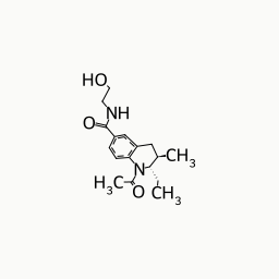 CC[C@H]1[C@H](C)Cc2cc(C(=O)NCCO)ccc2N1C(C)=O